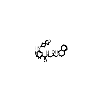 O=C(NCC(O)CN1CCc2ccccc2C1)c1cc(NC2CC3(COC3)C2)ncn1